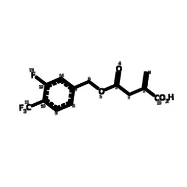 C=C(CC(=O)OCc1ccc(C(F)(F)F)c(F)c1)C(=O)O